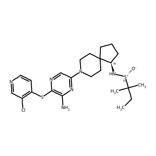 CCC(C)(C)[S@@+]([O-])N[C@@H]1CCCC12CCN(c1cnc(Sc3ccncc3Cl)c(N)n1)CC2